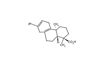 CC(C)C1=CCC2=C(CC[C@H]3[C@](C)(C(=O)O)CCC[C@]23C)C1